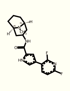 CN1[C@@H]2CCC[C@H]1CC(NC(=O)c1cc(-c3ccc(F)nc3F)c[nH]1)C2